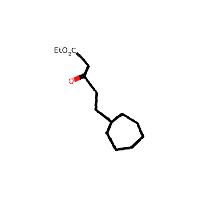 CCOC(=O)CC(=O)CCC1CCCCCC1